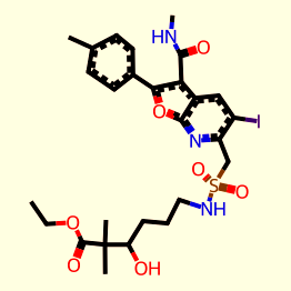 CCOC(=O)C(C)(C)C(O)CCCNS(=O)(=O)Cc1nc2oc(-c3ccc(C)cc3)c(C(=O)NC)c2cc1I